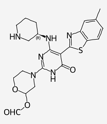 Cc1ccc2sc(-c3c(N[C@@H]4CCCNC4)nc(N4CCOC(OC=O)C4)[nH]c3=O)nc2c1